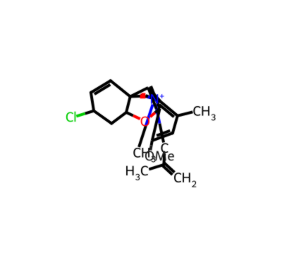 C=C(C)C[N+]1(C)CCC23C=CC(Cl)CC2Oc2c(OC)cc(C)c(c23)C1